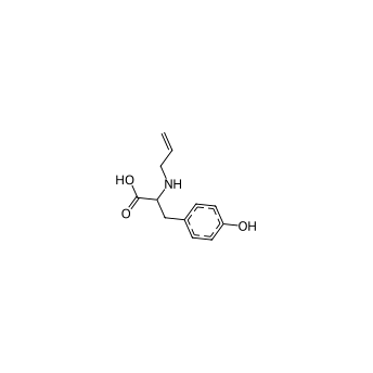 C=CCNC(Cc1ccc(O)cc1)C(=O)O